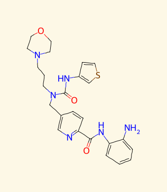 Nc1ccccc1NC(=O)c1ccc(CN(CCCN2CCOCC2)C(=O)Nc2ccsc2)cn1